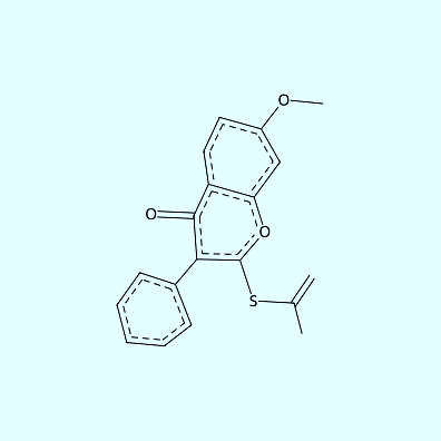 C=C(C)Sc1oc2cc(OC)ccc2c(=O)c1-c1ccccc1